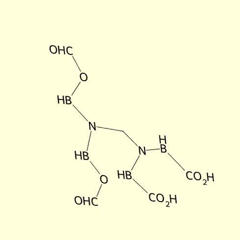 O=COBN(BOC=O)CN(BC(=O)O)BC(=O)O